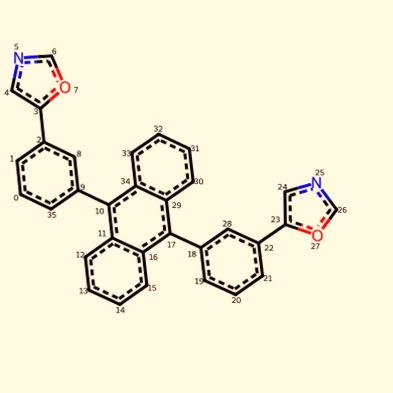 c1cc(-c2cnco2)cc(-c2c3ccccc3c(-c3cccc(-c4cnco4)c3)c3ccccc23)c1